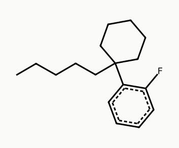 CCCCCC1(c2ccccc2F)CCCCC1